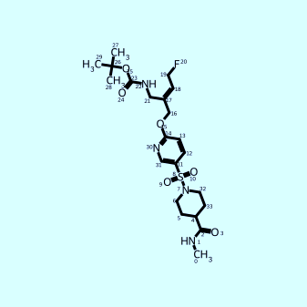 CNC(=O)C1CCN(S(=O)(=O)c2ccc(OC/C(=C/CF)CNC(=O)OC(C)(C)C)nc2)CC1